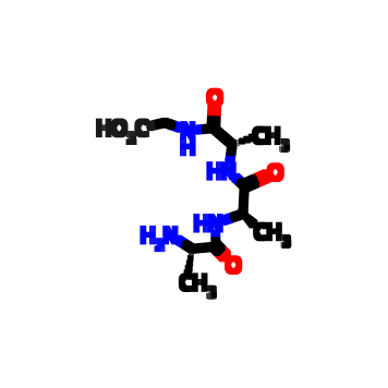 C[C@H](N)C(=O)N[C@H](C)C(=O)N[C@@H](C)C(=O)NCC(=O)O